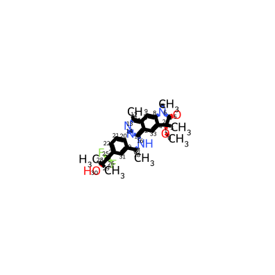 COC1(C)C(=O)N(C)c2cc3c(C)nnc(N[C@H](C)c4cccc(C(F)(F)C(C)(C)O)c4)c3cc21